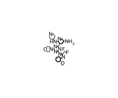 COc1cccc2c1nc(C(F)F)n2-c1nc(-c2cc(N)cnc2NC2CCN(C)CC2)nc(N2CCOCC2)n1